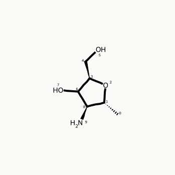 C[C@H]1O[C@H](CO)C(O)[C@@H]1N